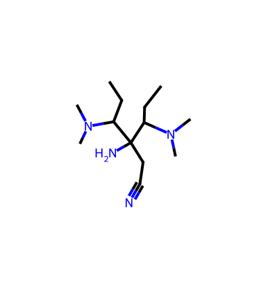 CCC(N(C)C)C(N)(CC#N)C(CC)N(C)C